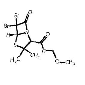 COCOC(=O)[C@@H]1N2C(=O)C(Br)(Br)[C@H]2SC1(C)C